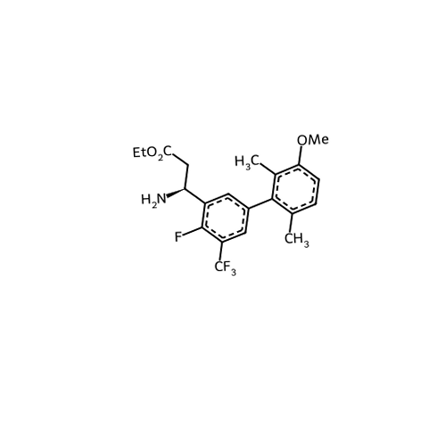 CCOC(=O)C[C@H](N)c1cc(-c2c(C)ccc(OC)c2C)cc(C(F)(F)F)c1F